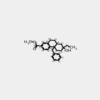 CCC1(O)CCC2(Cc3ccccc3)c3ccc(C(=O)OC)cc3CCC2C1